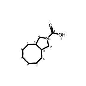 O=C(O)N1CC2CCCCCCC2C1